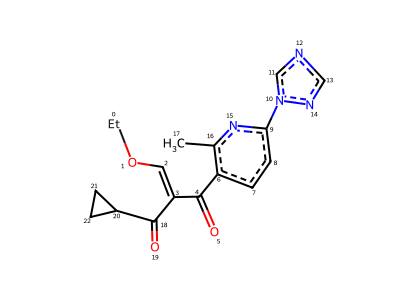 CCO/C=C(/C(=O)c1ccc(-n2cncn2)nc1C)C(=O)C1CC1